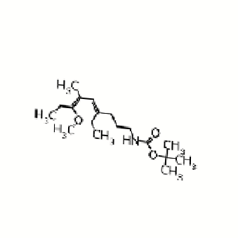 CC/C(OC)=C(C)/C=C(\CC)CCCNC(=O)OC(C)(C)C